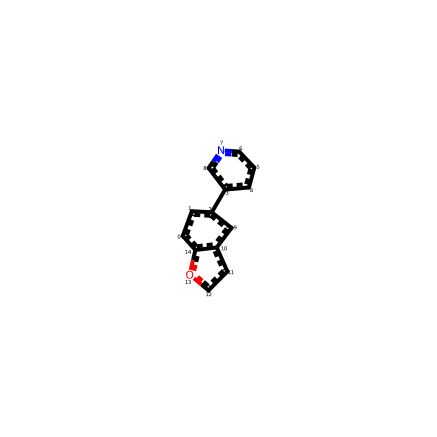 [c]1cc(-c2cccnc2)cc2ccoc12